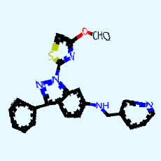 O=COc1csc(-n2nc(-c3ccccc3)c3ccc(NCc4cccnc4)cc32)n1